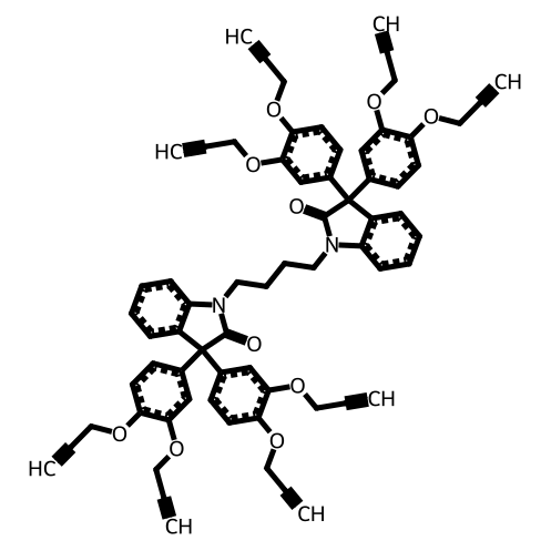 C#CCOc1ccc(C2(c3ccc(OCC#C)c(OCC#C)c3)C(=O)N(CCCCN3C(=O)C(c4ccc(OCC#C)c(OCC#C)c4)(c4ccc(OCC#C)c(OCC#C)c4)c4ccccc43)c3ccccc32)cc1OCC#C